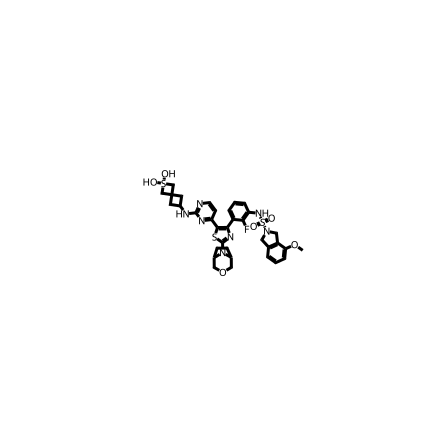 COc1cccc2c1CN(S(=O)(=O)Nc1cccc(-c3nc(N4C5CCC4COC5)sc3-c3ccnc(NC4CC5(C4)CS(O)(O)C5)n3)c1F)C2